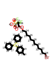 Cc1ccc([S+](c2ccccc2)c2ccccc2)cc1.O=C(OCCCCCCCCCCCCBr)C(F)(F)S(=O)(=O)[O-]